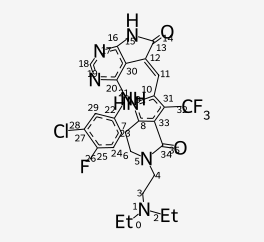 CCN(CC)CCN1CCc2[nH]c(/C=C3/C(=O)Nc4ncnc(Nc5ccc(F)c(Cl)c5)c43)c(C(F)(F)F)c2C1=O